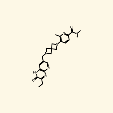 CCc1nc2ncc(CN3CC4(C3)CN(c3ccc(C(=O)NC)nc3C)C4)cc2[nH]c1=O